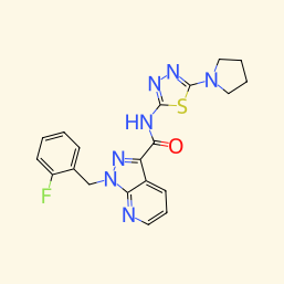 O=C(Nc1nnc(N2CCCC2)s1)c1nn(Cc2ccccc2F)c2ncccc12